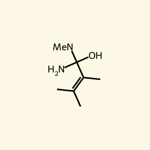 CNC(N)(O)C(C)=C(C)C